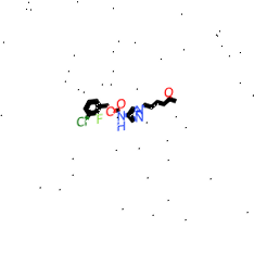 CC(=O)CCCCn1cc(NC(=O)OCc2cccc(Cl)c2F)cn1